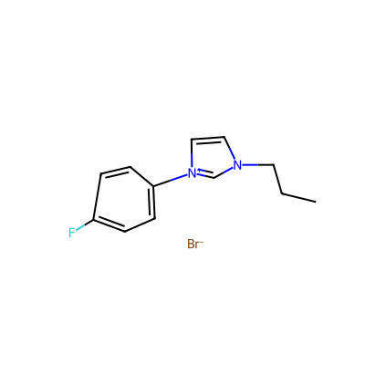 CCCn1cc[n+](-c2ccc(F)cc2)c1.[Br-]